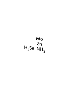 N.[Mo].[SeH2].[Zn]